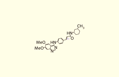 COc1cc2ncnc(Nc3ccc(/C=C/C(=O)NC4CCCC(C)C4)cc3)c2cc1OC